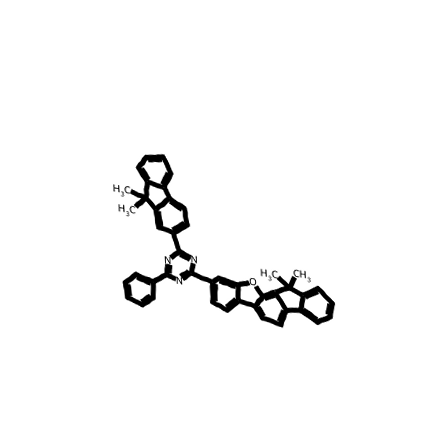 CC1(C)c2ccccc2-c2ccc(-c3nc(-c4ccccc4)nc(-c4ccc5c(c4)oc4c6c(ccc45)-c4ccccc4C6(C)C)n3)cc21